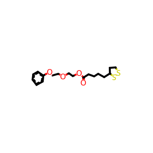 O=C(CCCCC1CCSS1)OCCOCCOc1ccccc1